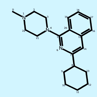 CN1CCN(c2nc(C3CCCCC3)cc3ccccc23)CC1